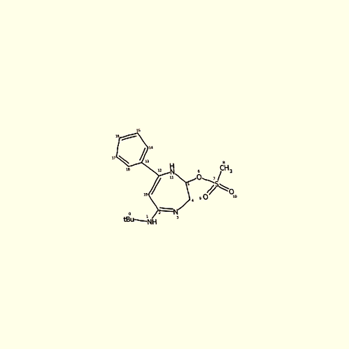 CC(C)(C)NC1=NCC(OS(C)(=O)=O)NC(c2ccccc2)=C1